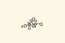 Fc1ccc(-c2nc(-c3cc4ccccc4o3)c(-c3ccnc(NCCc4ccccc4)n3)[nH]2)cc1